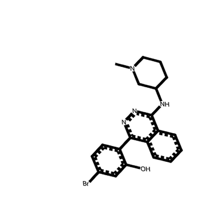 CN1CCCC(Nc2nnc(-c3ccc(Br)cc3O)c3ccccc23)C1